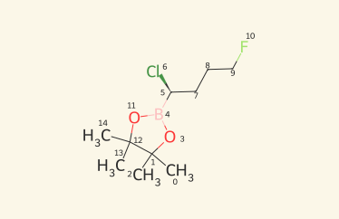 CC1(C)OB([C@@H](Cl)CCCF)OC1(C)C